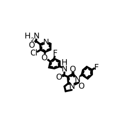 NC(=O)c1nccc(Oc2ccc(NC(=O)c3c4n(c(=O)n(-c5ccc(F)cc5)c3=O)CCC4)cc2F)c1Cl